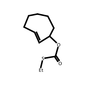 CCSC(=O)OC1/C=C/CCCCC1